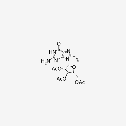 C=Cc1nc2c(=O)[nH]c(N)nc2n1[C@@H]1O[C@H](COC(C)=O)[C@@H](OC(C)=O)[C@H]1OC(C)=O